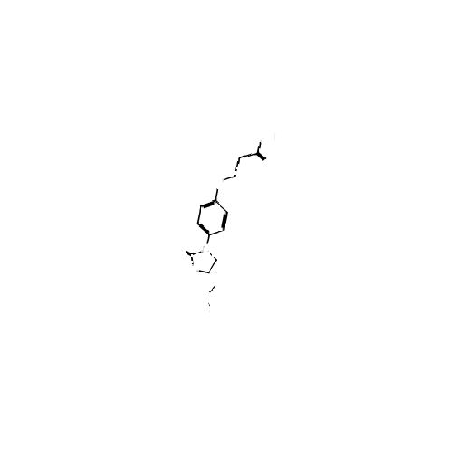 COC[C@H]1CN(c2ccc(OCCC(C)=O)cc2)C(=O)O1